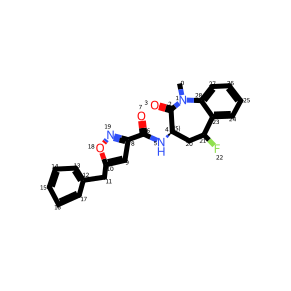 CN1C(=O)[C@@H](NC(=O)c2cc(Cc3ccccc3)on2)CC(F)c2ccccc21